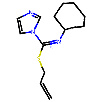 C=CCS/C(=N/C1CCCCC1)n1ccnc1